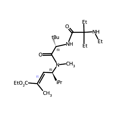 CCNC(CC)(CC)C(=O)N[C@H](C(=O)N(C)[C@H](/C=C(\C)C(=O)OCC)C(C)C)C(C)(C)C